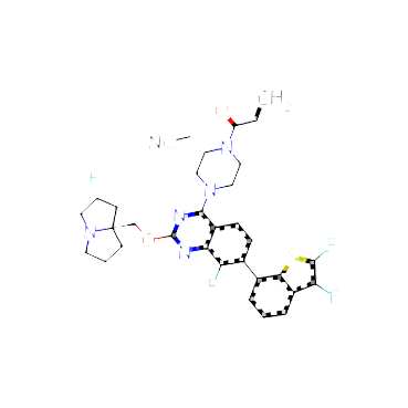 C=CC(=O)N1CCN(c2nc(OC[C@@]34CCCN3C[C@H](F)C4)nc3c(F)c(-c4cccc5c(F)c(F)sc45)ccc23)C[C@@H]1CC#N